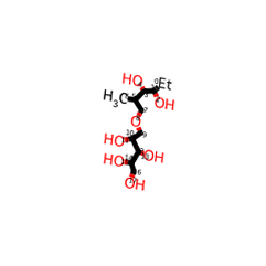 CCC(O)C(O)C(C)COCC(O)C(O)C(O)CO